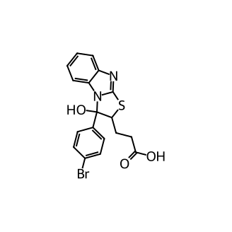 O=C(O)CCC1Sc2nc3ccccc3n2C1(O)c1ccc(Br)cc1